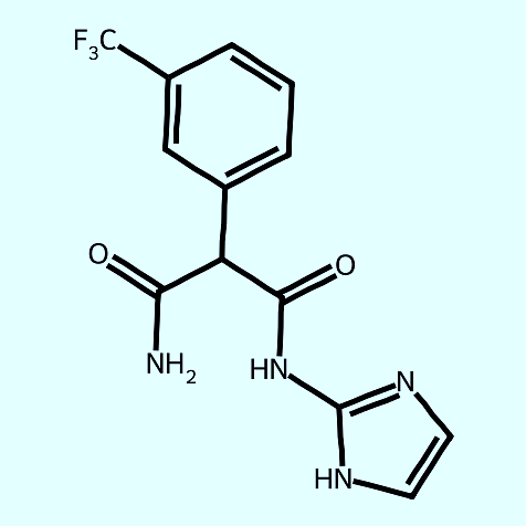 NC(=O)C(C(=O)Nc1ncc[nH]1)c1cccc(C(F)(F)F)c1